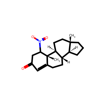 C[C@@]12CCC[C@H]1[C@@H]1CCC3=CC(=O)CC([N+](=O)[O-])[C@]3(C)[C@H]1CC2